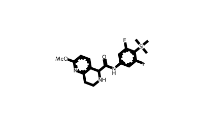 COc1ccc2c(n1)CCNC2C(=O)Nc1cc(F)c([Si](C)(C)C)c(F)c1